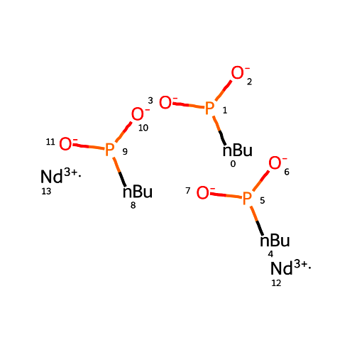 CCCCP([O-])[O-].CCCCP([O-])[O-].CCCCP([O-])[O-].[Nd+3].[Nd+3]